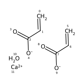 C=CC(=O)[O-].C=CC(=O)[O-].O.[Ca+2]